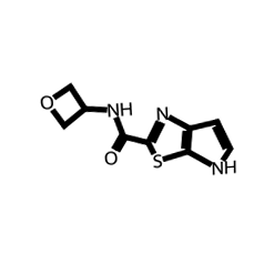 O=C(NC1COC1)c1nc2cc[nH]c2s1